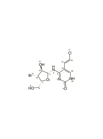 O=c1nc(N[C@@H]2O[C@H](CO)[C@H](Br)[C@H]2O)c(C=CCl)c[nH]1